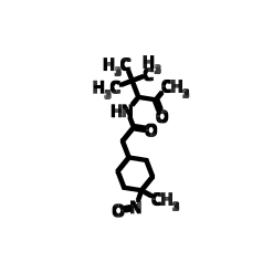 CC(=O)C(NC(=O)CC1CCC(C)(N=O)CC1)C(C)(C)C